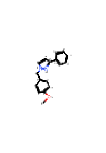 COc1ccc(Cn2ccc(-c3ccccc3)n2)cc1